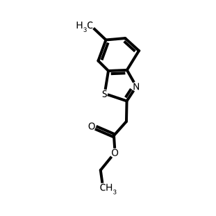 CCOC(=O)Cc1nc2ccc(C)cc2s1